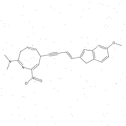 COc1ccc2c(c1)C=C(/C=C/C#CC1/C=C\C/C(N(C)C)=N\C([N+](=O)[O-])=C/1)C2